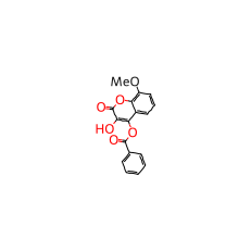 COc1cccc2c(OC(=O)c3ccccc3)c(O)c(=O)oc12